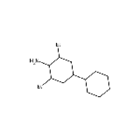 CCC1CC(C2CCCCC2)CC(CC)C1N